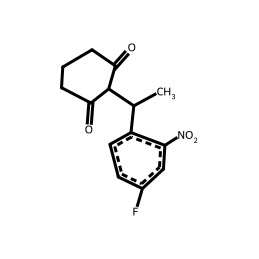 CC(c1ccc(F)cc1[N+](=O)[O-])C1C(=O)CCCC1=O